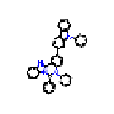 c1ccc(B2N(c3ccccc3)c3ccc(-c4ccc5c6ccccc6n(-c6ccccc6)c5c4)cc3-c3nc4ccccc4n32)cc1